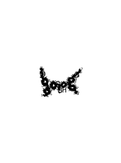 C=CCOCc1ccc(N(c2ccc(CC)cc2)c2ccc(OC(CO)c3ccc(N(c4ccc(CC)cc4)c4ccc(COCC=C)cc4)cc3)cc2)cc1